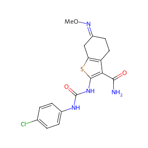 CO/N=C1/CCc2c(sc(NC(=O)Nc3ccc(Cl)cc3)c2C(N)=O)C1